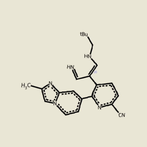 Cc1cn2ccc(-c3nc(C#N)ccc3/C(C=N)=C/NCC(C)(C)C)cc2n1